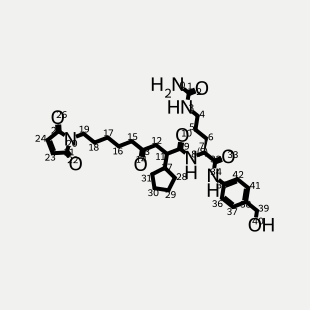 NC(=O)NCCC[C@H](NC(=O)C(CC(=O)CCCCCN1C(=O)C=CC1=O)C1CCCC1)C(=O)Nc1ccc(CO)cc1